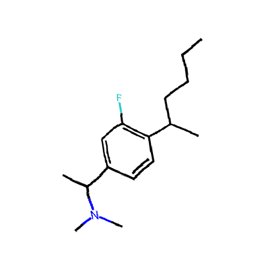 CCCCC(C)c1ccc(C(C)N(C)C)cc1F